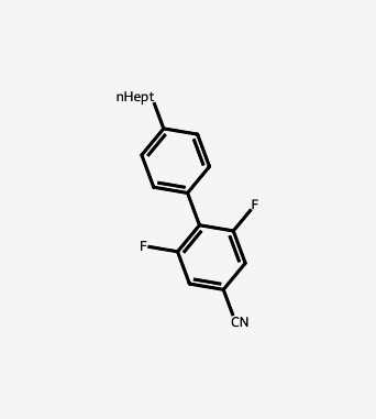 CCCCCCCc1ccc(-c2c(F)cc(C#N)cc2F)cc1